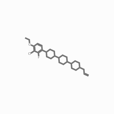 C=CCC1CCC(C2CCC(C3CCC(c4ccc(OCC)c(Cl)c4F)CC3)CC2)CC1